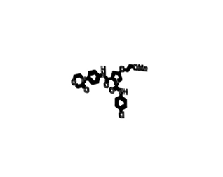 COCCO[C@@H]1C[C@H](C(=O)Nc2ccc(N3CCOCC3=O)cc2)N(C(=O)Nc2ccc(Cl)cc2)C1